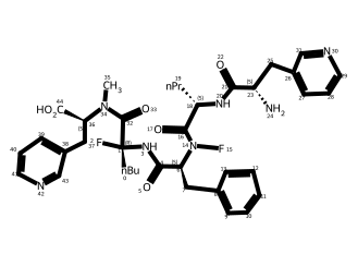 CCCC[C@](F)(NC(=O)[C@H](Cc1ccccc1)N(F)C(=O)[C@H](CCC)NC(=O)[C@@H](N)Cc1cccnc1)C(=O)N(C)[C@@H](Cc1cccnc1)C(=O)O